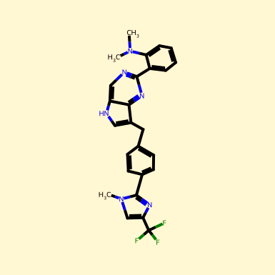 CN(C)c1ccccc1-c1ncc2[nH]cc(Cc3ccc(-c4nc(C(F)(F)F)cn4C)cc3)c2n1